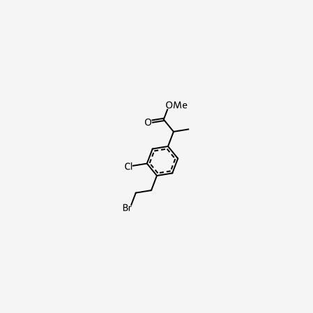 COC(=O)C(C)c1ccc(CCBr)c(Cl)c1